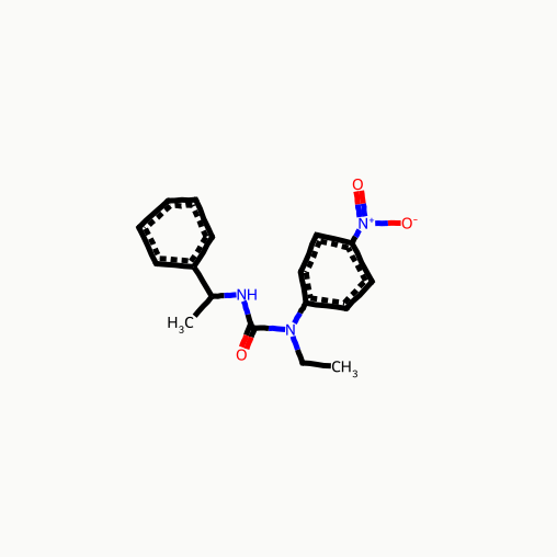 CCN(C(=O)NC(C)c1ccccc1)c1ccc([N+](=O)[O-])cc1